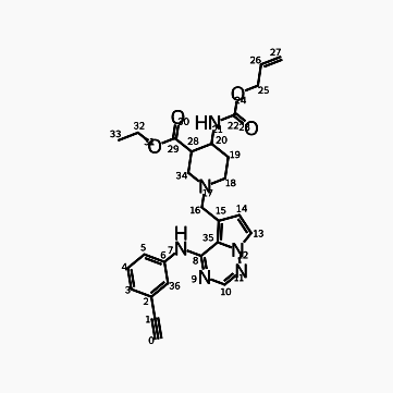 C#Cc1cccc(Nc2ncnn3ccc(CN4CCC(NC(=O)OCC=C)C(C(=O)OCC)C4)c23)c1